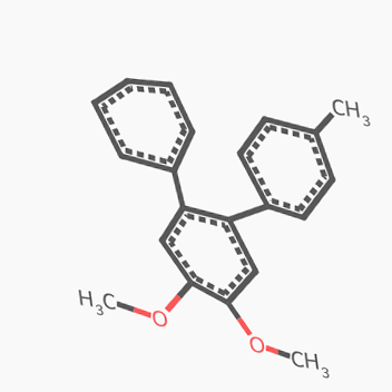 COc1cc(-c2ccccc2)c(-c2ccc(C)cc2)cc1OC